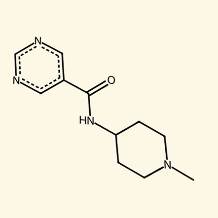 CN1CCC(NC(=O)c2cncnc2)CC1